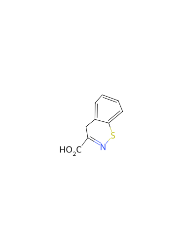 O=C(O)C1=NSc2ccccc2C1